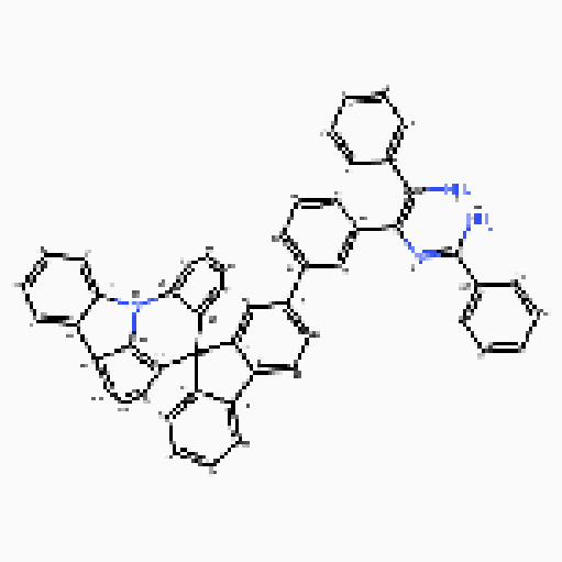 N/C(=N\C(=C(/N)c1ccccc1)c1cccc(-c2ccc3c(c2)C2(c4ccccc4-3)c3ccccc3-n3c4ccccc4c4cccc2c43)c1)c1ccccc1